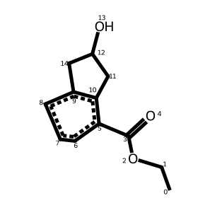 CCOC(=O)c1cccc2c1CC(O)C2